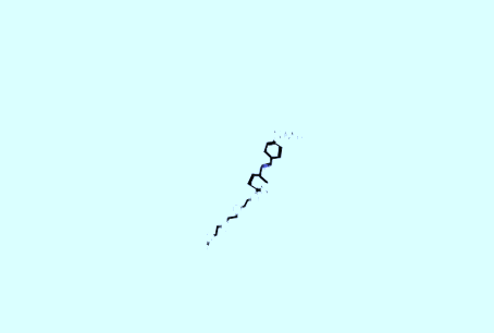 CNc1ccc(/C=C/c2ccc(OCCOCCOCCSI)nc2)cc1